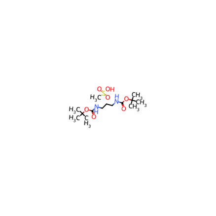 CC(C)(C)OC(=O)NCCCNC(=O)OC(C)(C)C.CS(=O)(=O)O